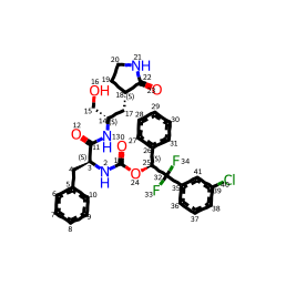 O=C(N[C@@H](Cc1ccccc1)C(=O)N[C@H](CO)C[C@@H]1CCNC1=O)O[C@@H](c1ccccc1)C(F)(F)c1cccc(Cl)c1